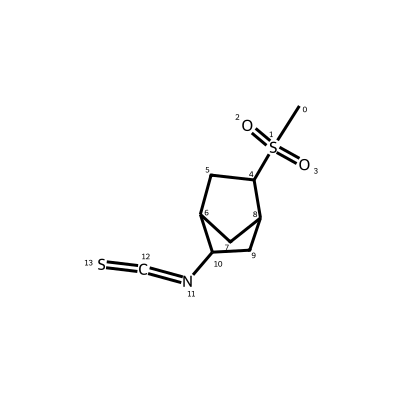 CS(=O)(=O)C1CC2CC1CC2N=C=S